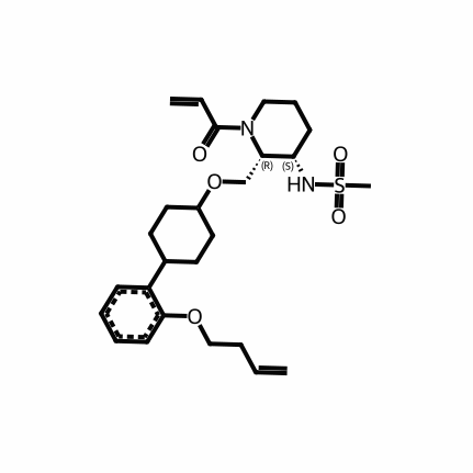 C=CCCOc1ccccc1C1CCC(OC[C@H]2[C@@H](NS(C)(=O)=O)CCCN2C(=O)C=C)CC1